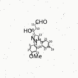 COc1ccc(-n2nc(C(O)CCC=O)cc2-c2ccc(C)cc2)cc1